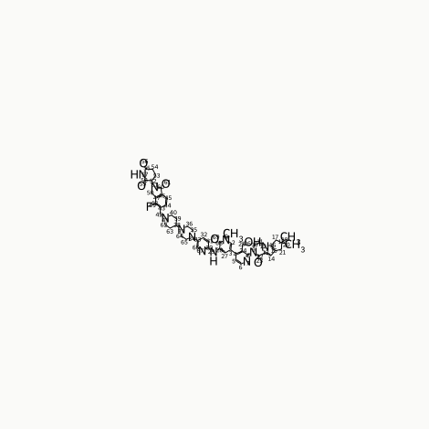 Cn1cc(-c2ccnc(N3CCn4c(cc5c4CC(C)(C)C5)C3=O)c2CO)cc(Nc2ccc(N3CCN(C4CCN(Cc5ccc6c(c5F)CN(C5CCC(=O)NC5=O)C6=O)CC4)CC3)cn2)c1=O